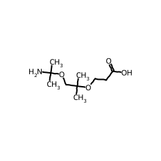 CC(C)(N)OCC(C)(C)OCCC(=O)O